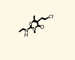 CCNc1nc(C)c(CCCl)c(=O)n1C